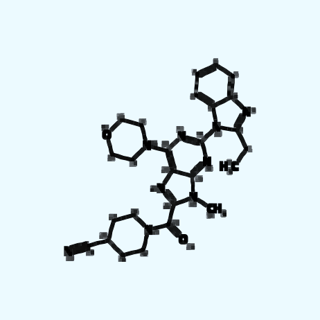 CCc1nc2ccccc2n1-c1nc(N2CCOCC2)c2nc(C(=O)N3CCC(C#N)CC3)n(C)c2n1